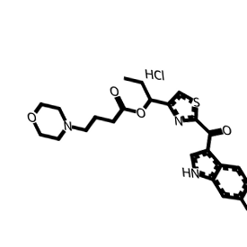 CCC(OC(=O)CCCN1CCOCC1)c1csc(C(=O)c2c[nH]c3cc(F)ccc23)n1.Cl